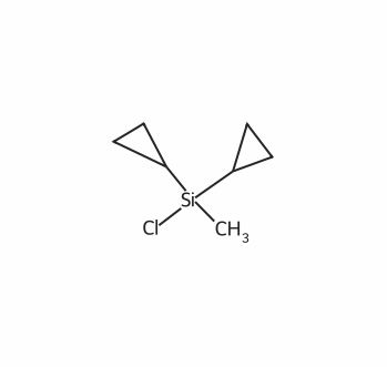 C[Si](Cl)(C1CC1)C1CC1